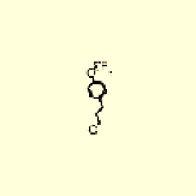 [O]CCCc1ccc(OC(F)(F)F)cc1